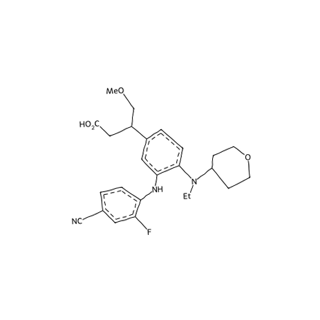 CCN(c1ccc(C(COC)CC(=O)O)cc1Nc1ccc(C#N)cc1F)C1CCOCC1